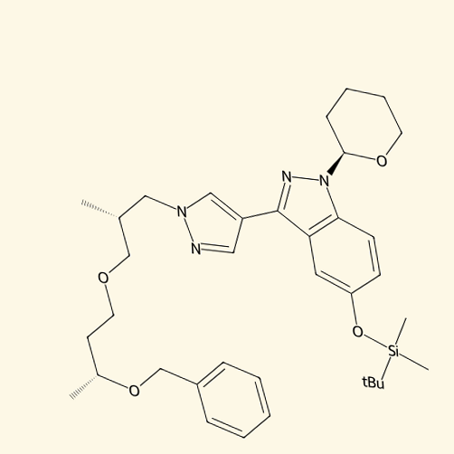 C[C@@H](COCC[C@@H](C)OCc1ccccc1)Cn1cc(-c2nn([C@H]3CCCCO3)c3ccc(O[Si](C)(C)C(C)(C)C)cc23)cn1